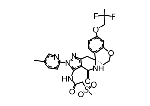 Cc1ccc(-n2nc3c(c2NC(=O)CS(C)(=O)=O)C(=O)N[C@@]2(CCOc4cc(OCC(C)(F)F)ccc42)C3)nc1